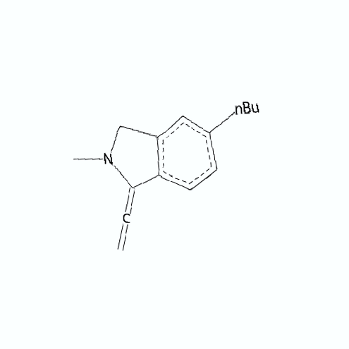 C=C=C1c2ccc(CCCC)cc2CN1C